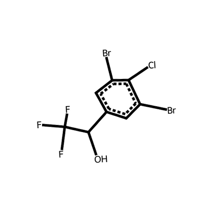 OC(c1cc(Br)c(Cl)c(Br)c1)C(F)(F)F